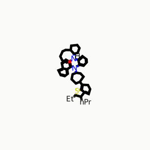 CCCC1C2=CCCC(C3CCCC(N(c4ccccc4N4CCCCCCC5CCCC[C@H]54)c4cccc5ccccc45)CC3)=C2SC1CC